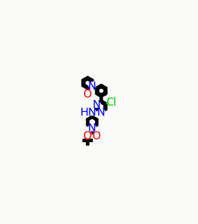 CC(C)(C)OC(=O)N1CCC(Nc2ncc(Cl)c(-c3cccc(-n4ccccc4=O)c3)n2)CC1